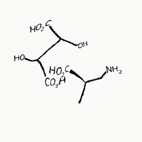 C[C@H](N)C(=O)O.O=C(O)C(O)C(O)C(=O)O